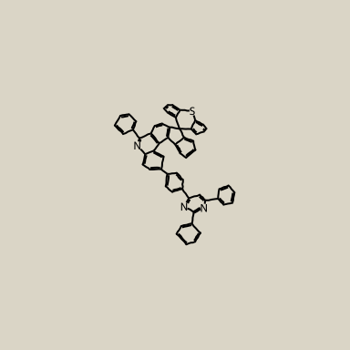 c1ccc(-c2cc(-c3ccc(-c4ccc5nc(-c6ccccc6)c6ccc7c(c6c5c4)-c4ccccc4C74c5ccccc5Sc5ccccc54)cc3)nc(-c3ccccc3)n2)cc1